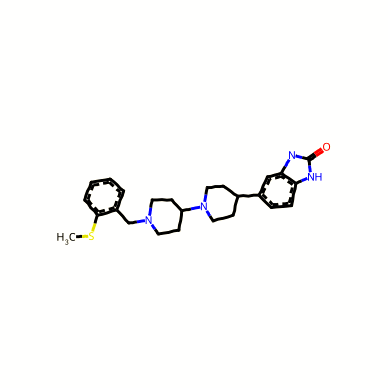 CSc1ccccc1CN1CCC(N2CCC(c3ccc4c(c3)[N]C(=O)N4)CC2)CC1